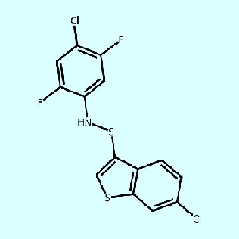 Fc1cc(NSc2csc3cc(Cl)ccc23)c(F)cc1Cl